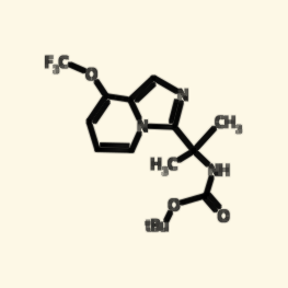 CC(C)(C)OC(=O)NC(C)(C)c1ncc2c(OC(F)(F)F)cccn12